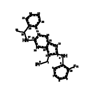 CC(C)Cn1c(Nc2ccccc2F)nc2cnc(NC(C)c3ccccc3)nc21